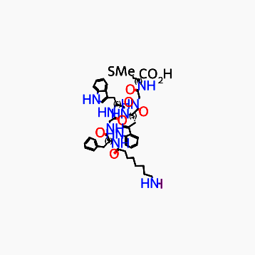 CSC[C@H](NC(=O)CNC(=O)[C@H](Cc1c[nH]c2ccccc12)NC(=O)[C@H](Cc1c[nH]c2ccccc12)NC(=O)CNC(=O)[C@H](Cc1ccccc1)NC(=O)CCCCCCCNI)C(=O)O